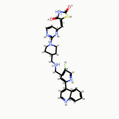 O=C1NC(=O)/C(=C\c2ccnc(N3CCC(CNCc4cc(-c5ccnc6ccccc56)ncc4F)CC3)n2)S1